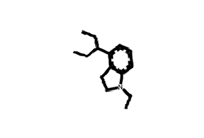 CCC(CC)c1cccc2c1CCN2CC